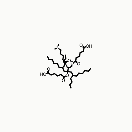 CCCCCCC(CCCC)CC(CC(CCCC)CCCCCC)(OC(=O)CCCCC(=O)O)C(COC(=O)CCCCC(=O)O)OC(=O)CCCCN(C)C